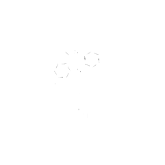 C[Si](C)(C)CCOCN1c2cc(O)ccc2NC(=O)c2ccc(Cl)cc21